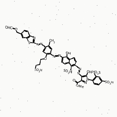 COC(=O)c1nn(-c2ccc(S(=O)(=O)O)cc2S(=O)(=O)O)c(O)c1N=Nc1ccc2c(O)c(N=Nc3cc(C)c(N=Nc4nc5ccc(COC=O)cc5s4)cc3OCCCS(=O)(=O)O)ccc2c1S(=O)(=O)O